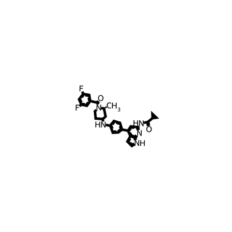 C[C@H]1CC(Nc2ccc(-c3cc(NC(=O)C4CC4)nc4[nH]ccc34)cc2)CCN1C(=O)c1cc(F)cc(F)c1